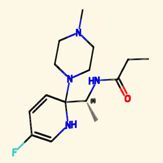 CCC(=O)N[C@H](C)C1(N2CCN(C)CC2)C=CC(F)=CN1